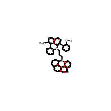 COc1ccccc1-c1ccccc1P(CCCP(c1ccccc1-c1ccccc1OC)c1ccccc1-c1ccccc1OC)c1ccccc1-c1ccccc1OC